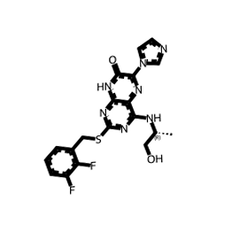 C[C@H](CO)Nc1nc(SCc2cccc(F)c2F)nc2[nH]c(=O)c(-n3ccnc3)nc12